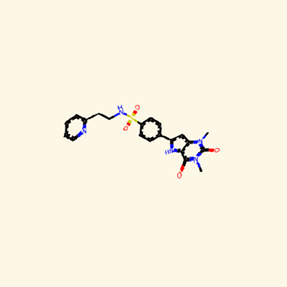 Cn1c(=O)c2[nH]c(-c3ccc(S(=O)(=O)NCCc4ccccn4)cc3)cc2n(C)c1=O